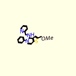 COCc1cc2c(s1)C=CN(c1ccccc1)C2NCc1ccccn1